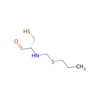 CCCSCN[C@H](C=O)CS